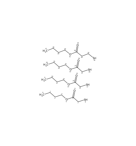 CCCCOC(=O)CS.CCCCOC(=O)CS.CCCCOC(=O)CS.CCCCOC(=O)C[CH2][Sn]